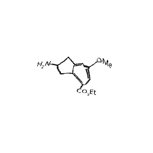 CCOC(=O)c1cc(OC)cc2c1CC(N)C2